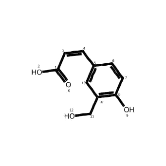 O=C(O)/C=C\c1ccc(O)c(CO)c1